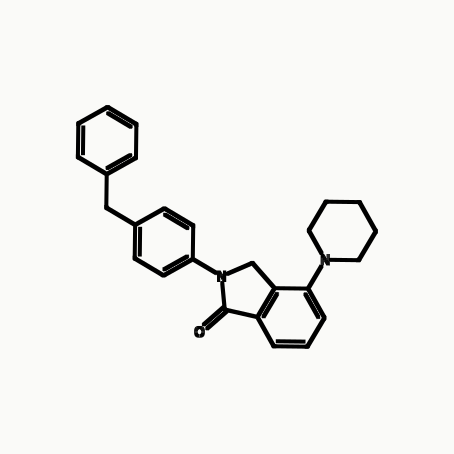 O=C1c2cccc(N3CCCCC3)c2CN1c1ccc(Cc2ccccc2)cc1